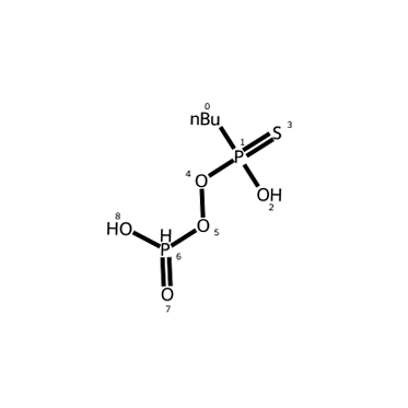 CCCCP(O)(=S)OO[PH](=O)O